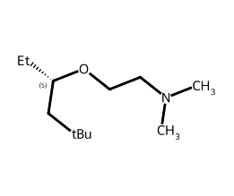 CC[C@@H](CC(C)(C)C)OCCN(C)C